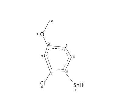 COc1cc[c]([SnH])c(Cl)c1